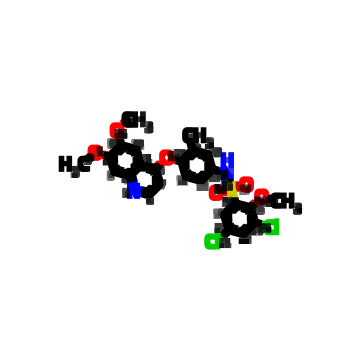 COc1cc2nccc(Oc3ccc(NS(=O)(=O)c4cc(Cl)cc(Cl)c4OC)cc3C)c2cc1OC